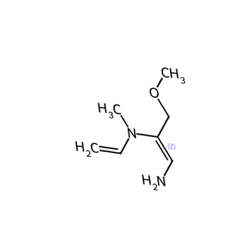 C=CN(C)/C(=C\N)COC